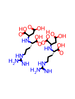 N=C(N)NCCC[C@H](NC(CC(=O)O)C(=O)O)C(=O)O.N=C(N)NCCC[C@H](NC(CC(=O)O)C(=O)O)C(=O)O